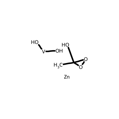 CC1(O)OO1.[OH][V][OH].[Zn]